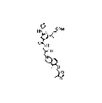 COCCN(C)c1cc(C(=O)NCC(O)CN2CCc3c(ccc(OCc4ocnc4C)c3C)C2)cc(NC2CCC2)n1